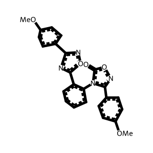 COc1ccc(-c2noc(-c3ccccc3-n3c(-c4ccc(OC)cc4)noc3=O)n2)cc1